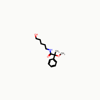 COC(C)(C(=O)NCCCCCO)c1ccccc1